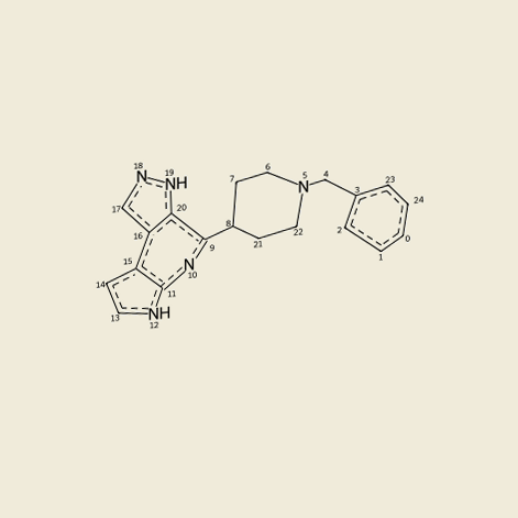 c1ccc(CN2CCC(c3nc4[nH]ccc4c4cn[nH]c34)CC2)cc1